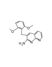 COc1cccc(OC)c1Cc1cc2cccnc2nc1N